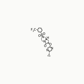 O=C1[C@H](Oc2cnc(C3CC3)cn2)C[C@H]2CN(S(=O)(=O)c3cccc(C(F)(F)F)c3)CCN12